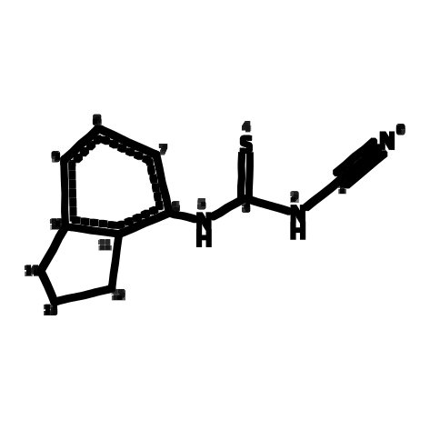 N#CNC(=S)Nc1cccc2c1CCC2